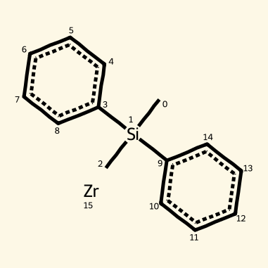 C[Si](C)(c1ccccc1)c1ccccc1.[Zr]